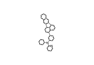 c1ccc(N(c2cccc(-c3ccc4c5c(cccc35)-c3cc5ccccc5cc3-4)c2)c2ccccn2)cc1